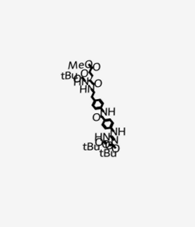 COC(=O)CC[C@H](NC(=O)OC(C)(C)C)C(=O)NCCc1ccc(NC(=O)c2ccc(N/C(=N/C(=O)OC(C)(C)C)NC(=O)OC(C)(C)C)cc2)cc1